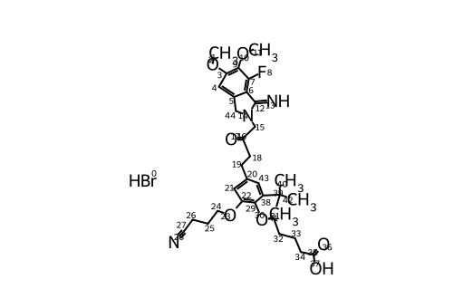 Br.COc1cc2c(c(F)c1OC)C(=N)N(CC(=O)CCc1cc(OCCCC#N)c(OCCCCC(=O)O)c(C(C)(C)C)c1)C2